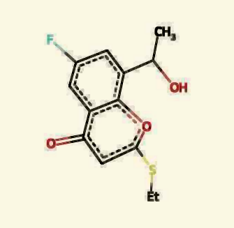 CCSc1cc(=O)c2cc(F)cc(C(C)O)c2o1